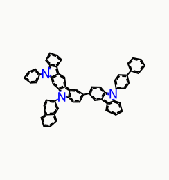 c1ccc(-c2ccc(-n3c4ccccc4c4cc(-c5ccc6c(c5)c5cc7c8ccccc8n(-c8ccccc8)c7cc5n6-c5ccc6ccccc6c5)ccc43)cc2)cc1